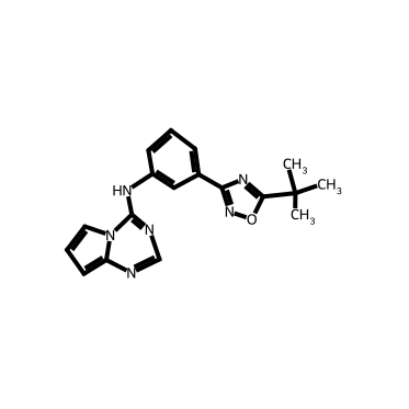 CC(C)(C)c1nc(-c2cccc(Nc3ncnc4cccn34)c2)no1